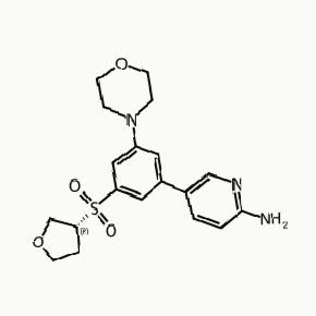 Nc1ccc(-c2cc(N3CCOCC3)cc(S(=O)(=O)[C@@H]3CCOC3)c2)cn1